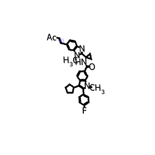 CC(=O)/C=C/c1ccc2nc(C3(NC(=O)c4ccc5c(C6CCCC6)c(-c6ccc(F)cc6)n(C)c5c4)CC3)n(C)c2c1